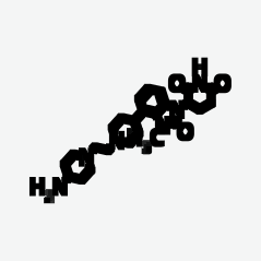 Cn1c(=O)n(C2CCC(=O)NC2=O)c2cccc(C3CCN(CCN4CCC(N)CC4)CC3)c21